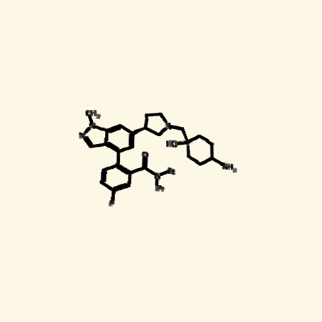 CCN(C(=O)c1cc(F)ccc1-c1cc([C@H]2CCN(CC3(O)CCC(N)CC3)C2)cc2c1cnn2C)C(C)C